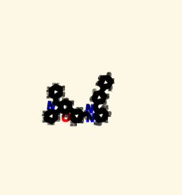 c1ccc(-c2ccc(-c3nc(-c4ccc5oc6c(ccc7c(-c8ccccc8)nc8ccccc8c76)c5c4)nc4ccccc34)cc2)cc1